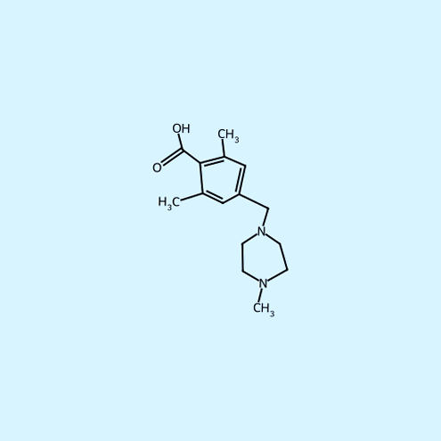 Cc1cc(CN2CCN(C)CC2)cc(C)c1C(=O)O